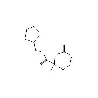 CC1(C(=O)OCC2CCCO2)CCOC(=O)O1